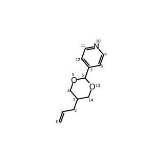 C=CCC1COC(c2ccncc2)OC1